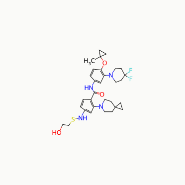 CC1(Oc2ccc(NC(=O)c3ccc(NSCCO)cc3N3CCC4(CC3)CC4)cc2N2CCC(F)(F)CC2)CC1